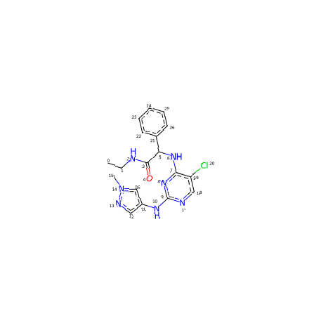 CCNC(=O)C(Nc1nc(Nc2cnn(C)c2)ncc1Cl)c1ccccc1